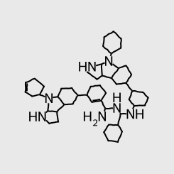 NC(NC(NC1CCCC(C2CCC3C(C2)C2CCNC2N3C2CCCCC2)C1)C1CCCCC1)C1=CC(C2CCC3C(C2)C2CCNC2N3C2CC=CCC2)CCC1